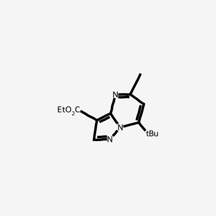 CCOC(=O)c1cnn2c(C(C)(C)C)cc(C)nc12